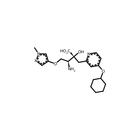 Cn1cc(OC[C@H](N)[C@](O)(Cc2cc(OC3CCCCC3)ccn2)C(=O)O)cn1